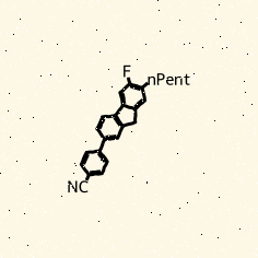 CCCCCc1cc2c(cc1F)-c1ccc(-c3ccc(C#N)cc3)cc1C2